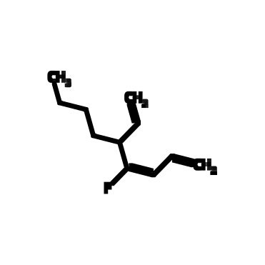 C=C/C=C(/F)C(C=C)CCCC